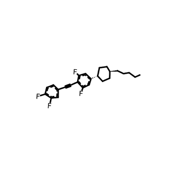 CCCCC[C@H]1CC[C@H](c2cc(F)c(C#Cc3ccc(F)c(F)c3)c(F)c2)CC1